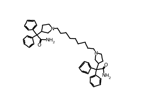 NC(=O)C(c1ccccc1)(c1ccccc1)C1CCN(CCCCCCCCCN2CCC(C(C(N)=O)(c3ccccc3)c3ccccc3)C2)C1